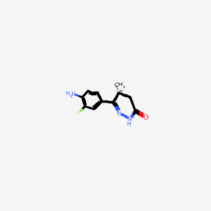 C[C@@H]1CC(=O)NN=C1c1ccc(N)c(F)c1